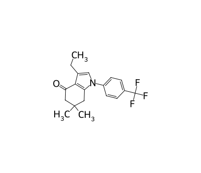 CCc1cn(-c2ccc(C(F)(F)F)cc2)c2c1C(=O)CC(C)(C)C2